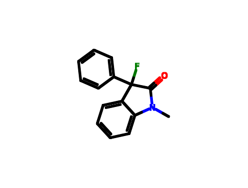 CN1C(=O)C(F)(c2ccccc2)c2ccccc21